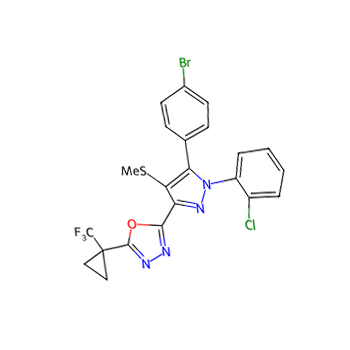 CSc1c(-c2nnc(C3(C(F)(F)F)CC3)o2)nn(-c2ccccc2Cl)c1-c1ccc(Br)cc1